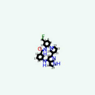 O=C(Nc1cccc(CF)c1)c1cccc(Nc2cc(-c3cccnc3)nc3[nH]ccc23)c1